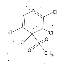 CS(=O)(=O)C1(Cl)C(Cl)=CN=C(Cl)C1Cl